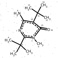 Cn1c(C(C)(C)C)nc(N)c(C(C)(C)C)c1=O